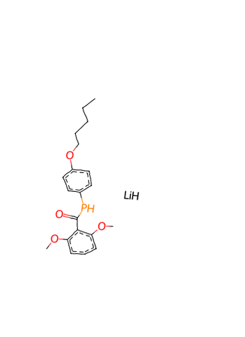 CCCCCOc1ccc(PC(=O)c2c(OC)cccc2OC)cc1.[LiH]